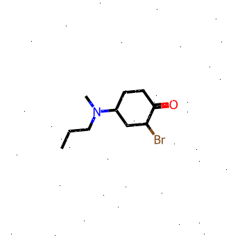 CCCN(C)C1CCC(=O)C(Br)C1